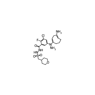 N/C1=C\CCC/C(N(N)c2cc(Cl)c(F)c(C(=O)NNS(=O)(=O)CC3CCOCC3)c2)=C\C1